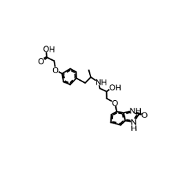 CC(Cc1ccc(OCC(=O)O)cc1)NCC(O)COc1cccc2[nH]c(=O)[nH]c12